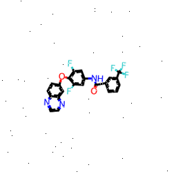 O=C(Nc1cc(F)c(Oc2ccc3nccnc3c2)c(F)c1)c1cccc(C(F)(F)F)c1